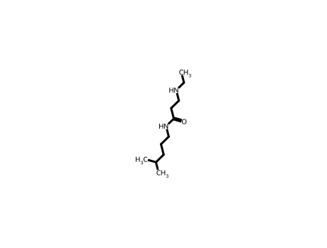 CCNCCC(=O)NCCCC(C)C